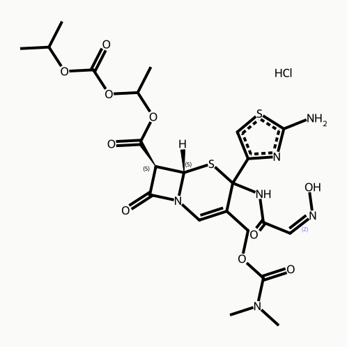 CC(C)OC(=O)OC(C)OC(=O)[C@@H]1C(=O)N2C=C(COC(=O)N(C)C)C(NC(=O)/C=N\O)(c3csc(N)n3)S[C@@H]12.Cl